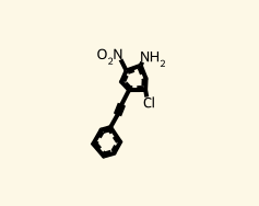 Nc1cc(Cl)c(C#Cc2ccccc2)cc1[N+](=O)[O-]